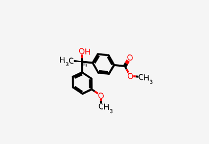 COC(=O)c1ccc([C@@](C)(O)c2cccc(OC)c2)cc1